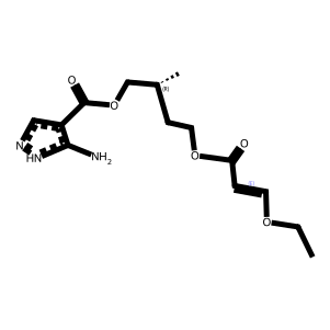 CCO/C=C/C(=O)OCC[C@@H](C)COC(=O)c1cn[nH]c1N